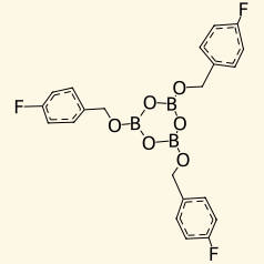 Fc1ccc(COB2OB(OCc3ccc(F)cc3)OB(OCc3ccc(F)cc3)O2)cc1